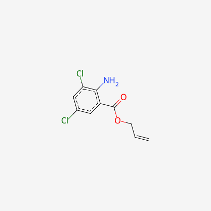 C=CCOC(=O)c1cc(Cl)cc(Cl)c1N